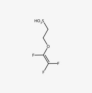 O=S(=O)(O)CCOC(F)=C(F)F